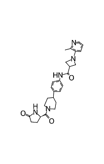 Cc1ncccc1N1CC(C(=O)Nc2ccc(C3CCN(C(=O)[C@H]4CCC(=O)N4)CC3)cc2)C1